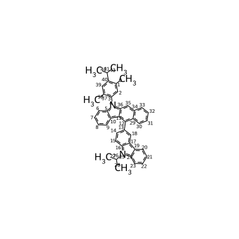 Cc1cc(-n2c3ccccc3c3c(-c4ccc5c(c4)c4ccccc4n5C(C)C)c4ccccc4cc32)c(C)cc1C(C)C